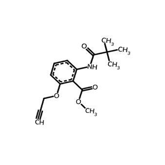 C#CCOc1cccc(NC(=O)C(C)(C)C)c1C(=O)OC